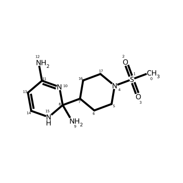 CS(=O)(=O)N1CCC(C2(N)N=C(N)C=CN2)CC1